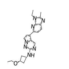 CCO[C@H]1C[C@H](Nc2ncc3c(-c4ccc5nc(C)n(CC)c5n4)ccn3n2)C1